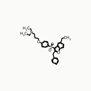 CCc1ccc2oc(Cc3ccccc3)c(S(=O)(=O)c3ccc(OCCCN(CC)CC)cc3)c2c1